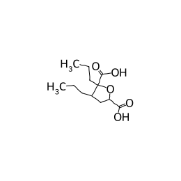 CCCC1CC(C(=O)O)OC1(CCC)C(=O)O